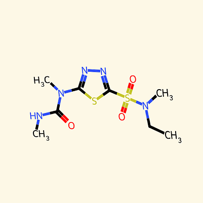 CCN(C)S(=O)(=O)c1nnc(N(C)C(=O)NC)s1